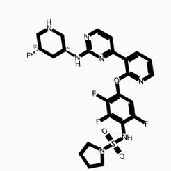 O=S(=O)(Nc1c(F)cc(Oc2ncccc2-c2ccnc(N[C@@H]3CNC[C@@H](F)C3)n2)c(F)c1F)N1CCCC1